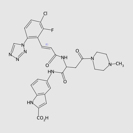 CN1CCN(C(=O)CC(NC(=O)/C=C/c2c(-n3cnnn3)ccc(Cl)c2F)C(=O)Nc2ccc3[nH]c(C(=O)O)cc3c2)CC1